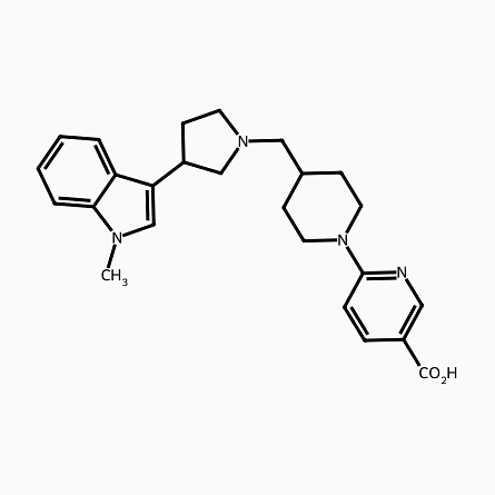 Cn1cc(C2CCN(CC3CCN(c4ccc(C(=O)O)cn4)CC3)C2)c2ccccc21